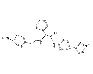 Cn1cc(-c2ccc(NC(=O)[C@@H](NCCc3ccc(C#N)cn3)c3ccccc3)nc2)cn1